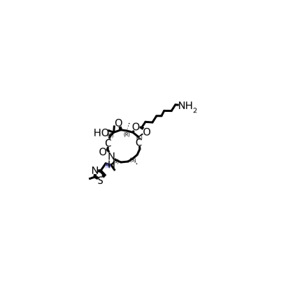 C/C(=C\c1csc(C)n1)[C@@H]1CC[C@@H](C)CCC[C@H](C)C(OC(=O)CCCCCCCN)[C@@H](C)C(=O)C(C)(C)[C@@H](O)CC(=O)N1